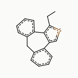 CCc1scc2c1-c1ccccc1Cc1ccccc1-2